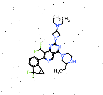 CCC1CN(c2nc(N3CC(N(CC)CC)C3)nc3c(C(F)F)c(-c4cccc5c4C4CC4C5(F)F)ncc23)CCN1